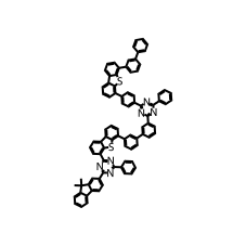 CC1(C)c2ccccc2-c2ccc(-c3nc(-c4ccccc4)nc(-c4cccc5c4sc4c(-c6cccc(-c7cccc(-c8nc(-c9ccccc9)nc(-c9ccc(-c%10cccc%11c%10sc%10c(-c%12cccc(-c%13ccccc%13)c%12)cccc%10%11)cc9)n8)c7)c6)cccc45)n3)cc21